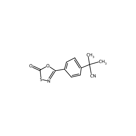 CC(C)(C#N)c1ccc(-c2nsc(=O)o2)cc1